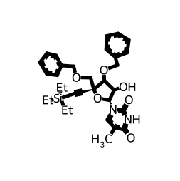 CC[Si](C#C[C@]1(COCc2ccccc2)O[C@@H](n2cc(C)c(=O)[nH]c2=O)C(O)C1OCc1ccccc1)(CC)CC